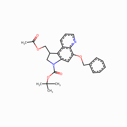 CC(=O)OCC1CN(C(=O)OC(C)(C)C)c2cc(OCc3ccccc3)c3ncccc3c21